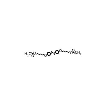 C=CC(=O)OCCCCCCOc1ccc(N=Nc2ccc(OCCCCCCOC(=O)C=C)cc2)cc1